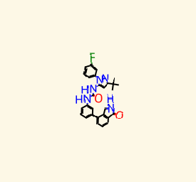 CC(C)(C)c1cc(NC(=O)Nc2cccc(-c3cccc4c3CNC4=O)c2)n(-c2cccc(F)c2)n1